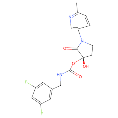 Cc1ccc(N2CC[C@](O)(OC(=O)NCc3cc(F)cc(F)c3)C2=O)cn1